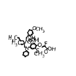 CCCCC1(CC)CN(c2ccccc2)c2cc(SC)c(OC=C(F)C(=O)O)cc2S(O)(O)N1Cc1ccc(OC)cc1